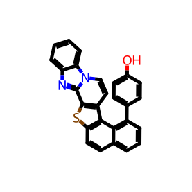 Oc1ccc(-c2cccc3ccc4sc5c(ccn6c7ccccc7nc56)c4c23)cc1